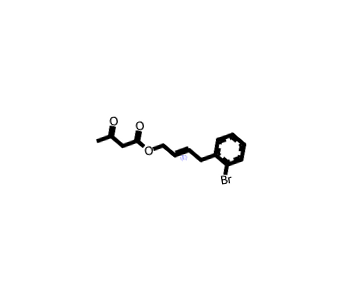 CC(=O)CC(=O)OC/C=C/Cc1ccccc1Br